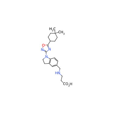 CC1(C)CCC(c2nc(N3CCc4cc(CNCCC(=O)O)ccc43)no2)CC1